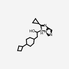 OC(CC1CCC(C2CCC2)CC1)[SH]1C(C2CC2)=Nc2cncn21